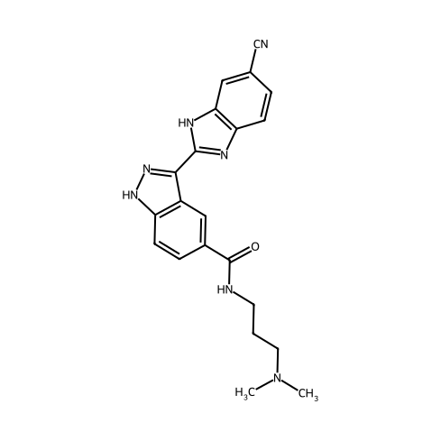 CN(C)CCCNC(=O)c1ccc2[nH]nc(-c3nc4ccc(C#N)cc4[nH]3)c2c1